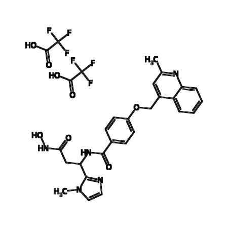 Cc1cc(COc2ccc(C(=O)NC(CC(=O)NO)c3nccn3C)cc2)c2ccccc2n1.O=C(O)C(F)(F)F.O=C(O)C(F)(F)F